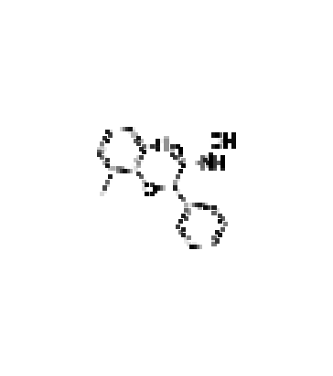 Cc1cccc(Cl)c1OC(C(=O)NO)c1ccccc1